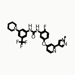 Cn1cc(-c2cc(Oc3ccc(F)c(NC(=O)Nc4cc(N5CCCCC5)cc(C(F)(F)F)c4)c3)ccn2)cn1